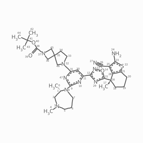 C[C@H]1CN(C)CCCN1c1nc(-c2noc([C@@]3(C)CCCc4sc(N)c(C#N)c43)n2)cc(N2CCC3(CN(C(=O)OC(C)(C)C)C3)C2)n1